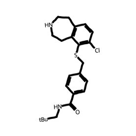 CC(C)(C)CNC(=O)c1ccc(CSc2c(Cl)ccc3c2CCNCC3)cc1